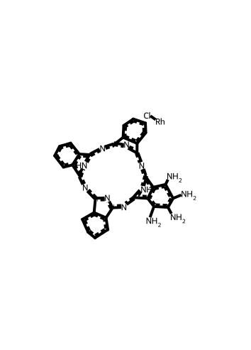 Nc1c(N)c(N)c2c3nc4nc(nc5[nH]c(nc6nc(nc([nH]3)c2c1N)-c1ccccc1-6)c1ccccc51)-c1ccccc1-4.[Cl][Rh]